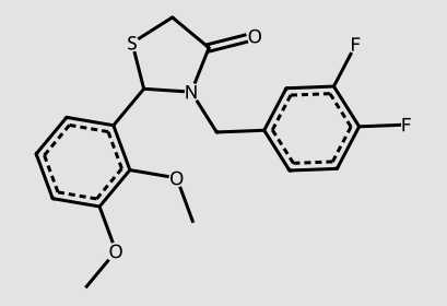 COc1cccc(C2SCC(=O)N2Cc2ccc(F)c(F)c2)c1OC